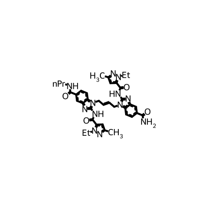 CCCNC(=O)c1ccc2c(c1)nc(NC(=O)c1cc(C)nn1CC)n2C/C=C/Cn1c(NC(=O)c2cc(C)nn2CC)nc2cc(C(N)=O)ccc21